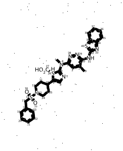 Cc1cc(N(C)C2=NC=C(C3CCN(S(=O)(=O)Cc4ccccc4)CC3)[SH]2C(=O)O)nnc1Nc1nc2ccccc2s1